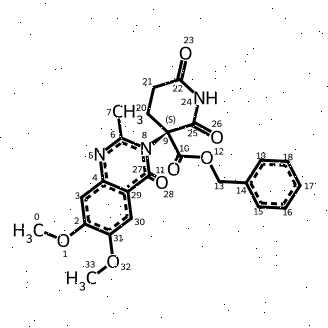 COc1cc2nc(C)n([C@@]3(C(=O)OCc4ccccc4)CCC(=O)NC3=O)c(=O)c2cc1OC